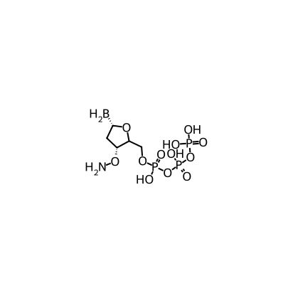 B[C@H]1C[C@@H](ON)C(COP(=O)(O)OP(=O)(O)OP(=O)(O)O)O1